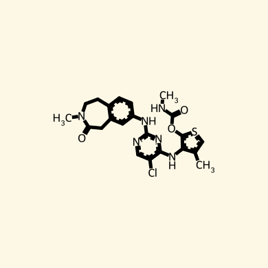 CNC(=O)Oc1scc(C)c1Nc1nc(Nc2ccc3c(c2)CC(=O)N(C)CC3)ncc1Cl